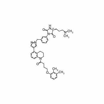 Cc1cccc(OCCCC(=O)N2CCCc3c(-c4cnn(Cc5cccc(N6C(=O)N[C@@H](CCCN(C)C)C6=O)c5)c4)cccc32)c1C